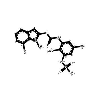 COc1c(NC(=O)Oc2cc3cccc(Br)c3n2C)cc(C(C)(C)C)cc1NS(C)(=O)=O